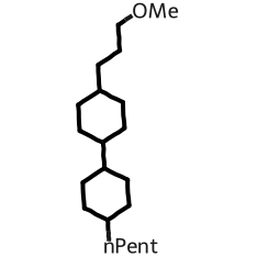 CCCCCC1CCC(C2CCC(CCCOC)CC2)CC1